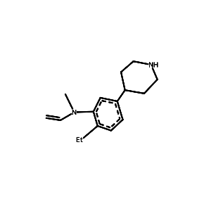 C=CN(C)c1cc(C2CCNCC2)ccc1CC